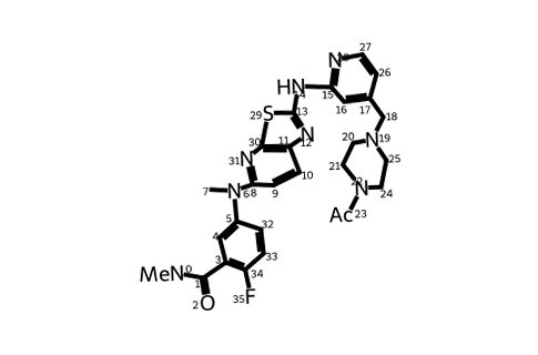 CNC(=O)c1cc(N(C)c2ccc3nc(Nc4cc(CN5CCN(C(C)=O)CC5)ccn4)sc3n2)ccc1F